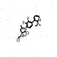 CC1CC(NC=O)C(=O)N1c1ccc(-c2cccnc2P(C)C)c(F)c1F